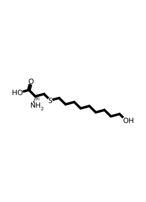 N[C@@H](CSCCCCCCCCCO)C(=O)O